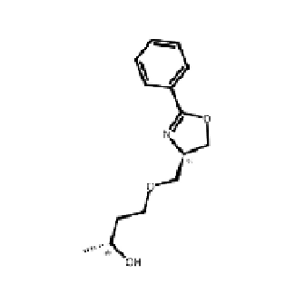 C[C@@H](O)CCOC[C@@H]1COC(c2ccccc2)=N1